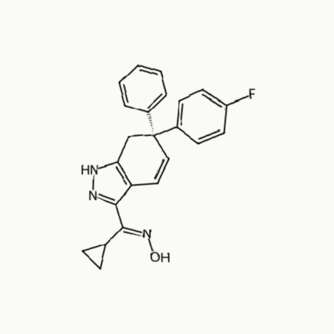 ON=C(c1n[nH]c2c1C=C[C@](c1ccccc1)(c1ccc(F)cc1)C2)C1CC1